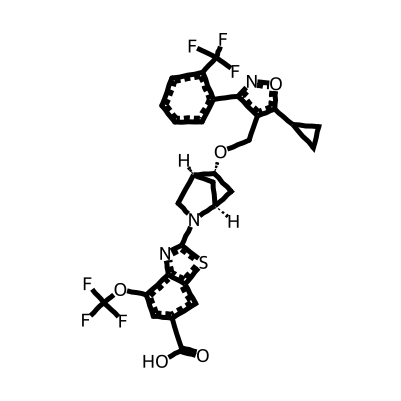 O=C(O)c1cc(OC(F)(F)F)c2nc(N3C[C@@H]4C[C@H]3C[C@H]4OCc3c(-c4ccccc4C(F)(F)F)noc3C3CC3)sc2c1